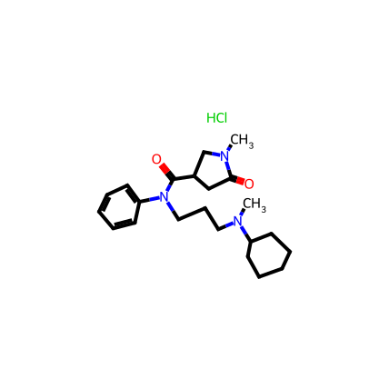 CN1CC(C(=O)N(CCCN(C)C2CCCCC2)c2ccccc2)CC1=O.Cl